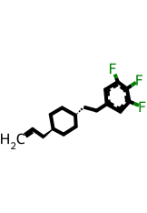 C=CC[C@H]1CC[C@H](CCc2cc(F)c(F)c(F)c2)CC1